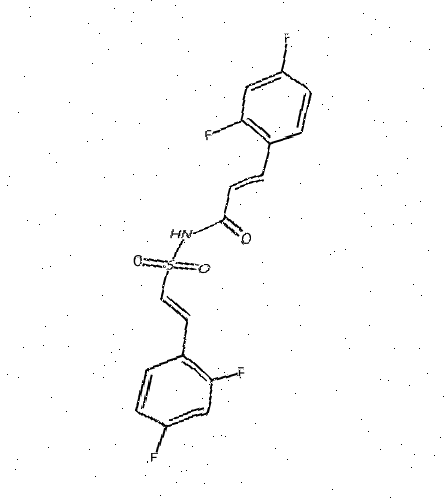 O=C(C=Cc1ccc(F)cc1F)NS(=O)(=O)C=Cc1ccc(F)cc1F